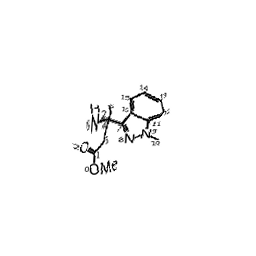 COC(=O)CC(C)(N)c1nn(C)c2ccccc12